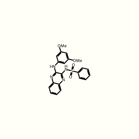 COc1cc(Nc2nc3ccccc3nc2NS(=O)(=O)c2[c]cccc2)cc(OC)c1